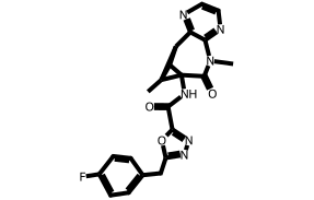 CN1C(=O)C2(NC(=O)c3nnc(Cc4ccc(F)cc4)o3)C3C(c4nccnc41)C32C